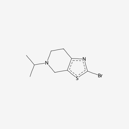 CC(C)N1CCc2nc(Br)sc2C1